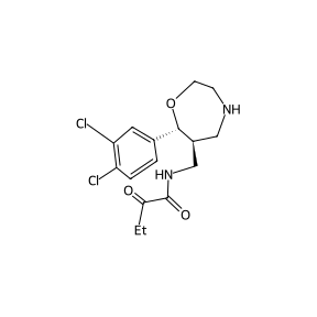 CCC(=O)C(=O)NC[C@@H]1CNCCO[C@H]1c1ccc(Cl)c(Cl)c1